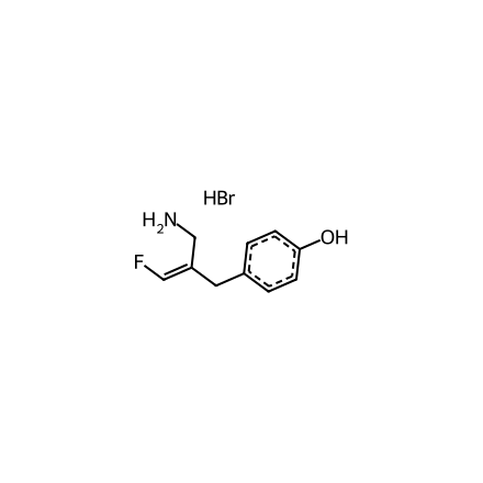 Br.NC/C(=C\F)Cc1ccc(O)cc1